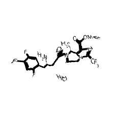 COC(=O)c1nc(C(F)(F)F)n2c1[C@@H](C)N(C(=O)C[C@@H](N)Cc1cc(F)c(F)cc1F)CC2.Cl